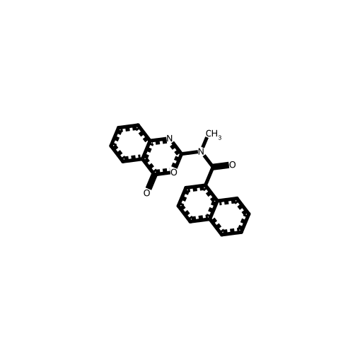 CN(C(=O)c1cccc2ccccc12)c1nc2ccccc2c(=O)o1